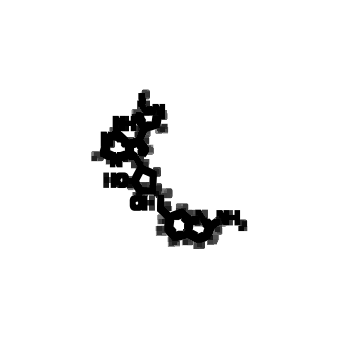 Cn1cc(-c2cn([C@@H]3C[C@H](CCc4ccc5ccc(N)nc5c4)[C@@H](O)[C@H]3O)c3ncnc(N)c23)cn1